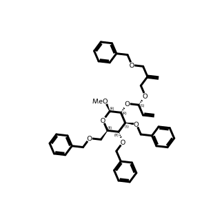 C=C[C@@H](OCC(=C)COCc1ccccc1)O[C@H]1[C@H](OC)O[C@H](COCc2ccccc2)[C@@H](OCc2ccccc2)[C@@H]1OCc1ccccc1